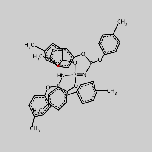 Cc1ccc(OP(N=P(NP(Oc2ccc(C)cc2)Oc2ccc(C)cc2)(Oc2ccc(C)cc2)Oc2ccc(C)cc2)Oc2ccc(C)cc2)cc1